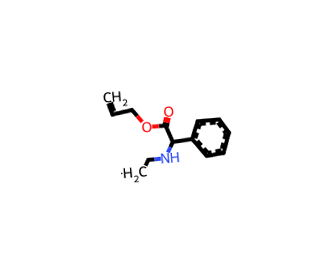 [CH2]CNC(C(=O)OCC=C)c1ccccc1